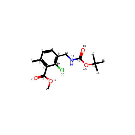 COC(=O)c1c(C)ccc(CNC(=O)OC(C)(C)C)c1Cl